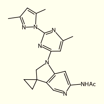 CC(=O)Nc1cc2c(cn1)C1(CC1)CN2c1cc(C)nc(-n2nc(C)cc2C)n1